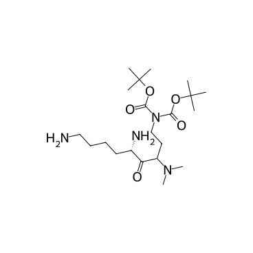 CN(C)C(CCN(C(=O)OC(C)(C)C)C(=O)OC(C)(C)C)C(=O)[C@@H](N)CCCCN